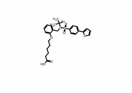 [2H]C(C)(C)N(Cc1ccccc1OCCCCCC(=O)O)S(=O)(=O)c1ccc(-c2ccco2)cc1